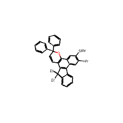 CCCc1cc2c3c(c4c(c2cc1SC)OC(c1ccccc1)(c1ccccc1)C=C4)C(CC)(CC)c1ccccc1-3